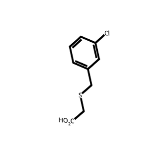 O=C(O)CSCc1cccc(Cl)c1